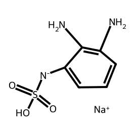 Nc1cccc([N-]S(=O)(=O)O)c1N.[Na+]